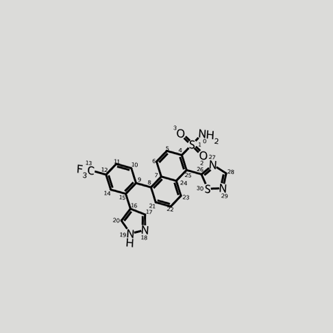 NS(=O)(=O)c1ccc2c(-c3ccc(C(F)(F)F)cc3-c3cn[nH]c3)cccc2c1-c1ncns1